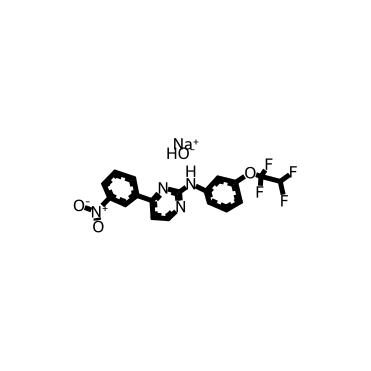 O=[N+]([O-])c1cccc(-c2ccnc(Nc3cccc(OC(F)(F)C(F)F)c3)n2)c1.[Na+].[OH-]